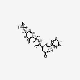 CC(C)(NC(=O)c1cc(=O)[nH]c(-c2ncccn2)n1)c1ccc(OC(F)(F)F)cc1F